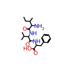 CCC(C)C(N)C(=O)NC(C(=O)NC(Cc1ccccc1)C(=O)O)C(C)C